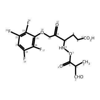 CC(C=O)C(=O)ONC(CCC(=O)O)C(=O)COc1c(F)c(F)cc(F)c1F